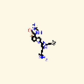 C[C@@H]1CNc2c(sc3ccc4nc(-c5cc(C#CC(C)(C)N)nc(C#C[Si](C)(C)C)n5)ccc4c23)C(=O)N1